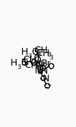 C[Si](C)(C)CCOCN(COCC[Si](C)(C)C)c1c(Br)c(C2CCCCC2)nc2c(-c3ccc(-c4ccccc4)nc3)cnn12